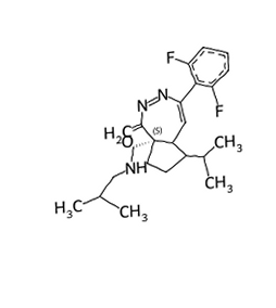 C=C1N=NC(c2c(F)cccc2F)=CC2C(C(C)C)CC[C@@]12C(=O)NCC(C)C